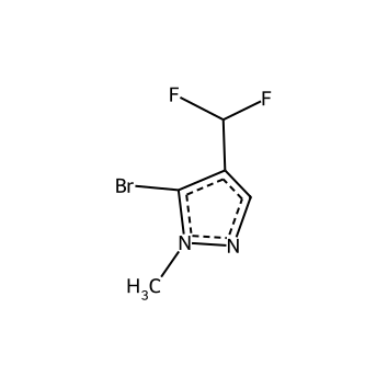 Cn1ncc(C(F)F)c1Br